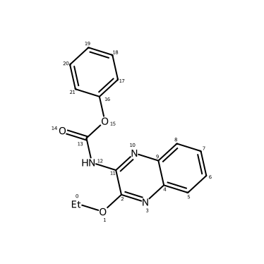 CCOc1nc2ccccc2nc1NC(=O)Oc1ccccc1